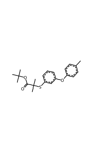 Cc1ccc(Oc2cccc(SC(C)(C)C(=O)OC(C)(C)C)c2)cc1